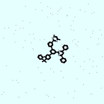 Cc1cc(C)nc(-c2cccc(-c3cc(-c4ccc5c(c4)-c4ccccc4C5(C)C)cc(-c4nc(-c5ccccc5)cc(-c5ccccc5)n4)c3)c2)n1